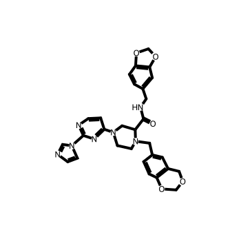 O=C(NCc1ccc2c(c1)OCO2)C1CN(c2ccnc(-n3ccnc3)n2)CCN1Cc1ccc2c(c1)COCO2